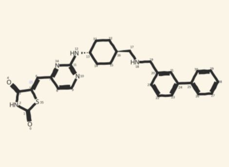 O=C1NC(=O)/C(=C/c2ccnc(N[C@H]3CC[C@H](CNCc4cccc(-c5ccccc5)c4)CC3)n2)S1